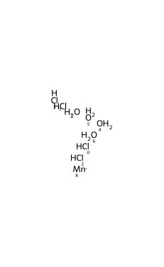 Cl.Cl.Cl.Cl.O.O.O.O.[Mn]